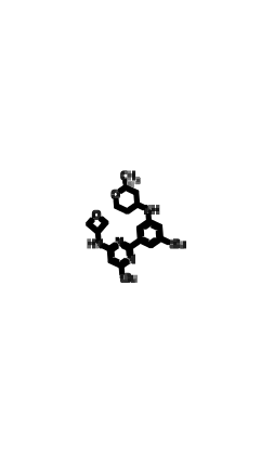 C[C@H]1CC(Nc2cc(-c3nc(NC4COC4)cc(C(C)(C)C)n3)cc(C(C)(C)C)c2)CCO1